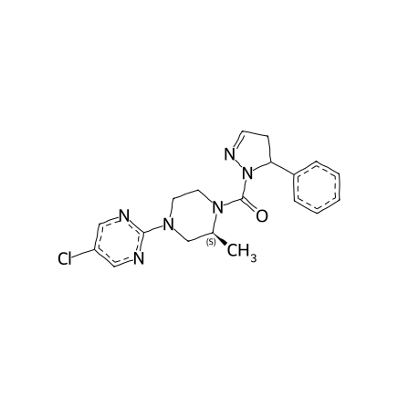 C[C@H]1CN(c2ncc(Cl)cn2)CCN1C(=O)N1N=CCC1c1ccccc1